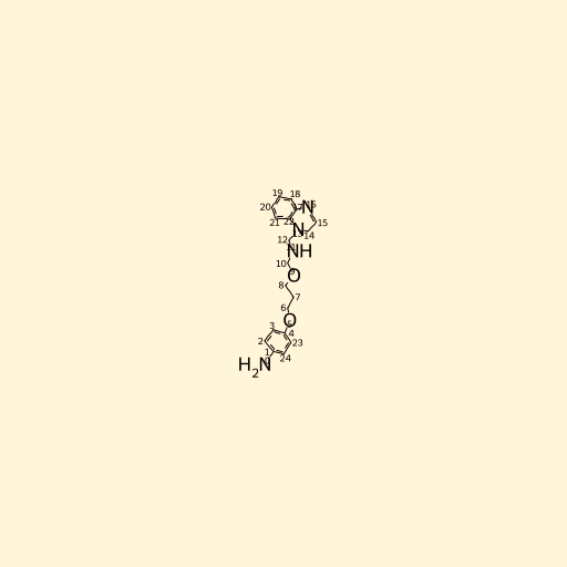 Nc1ccc(OCCCOCNCN2CC=Nc3ccccc32)cc1